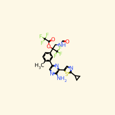 Cc1ccc(C(CNC=O)(OC(=O)C(F)(F)F)C(F)(F)F)cc1-c1cnc(N)c(-c2cnc(C3CC3)s2)n1